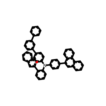 c1ccc(-c2cccc(-c3ccc(N(c4ccc(-c5cc6ccccc6c6ccccc56)cc4)c4ccccc4-c4cc5ccccc5o4)cc3)c2)cc1